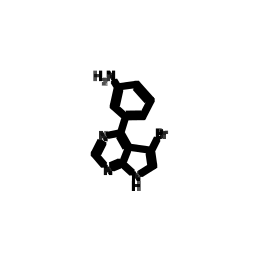 Nc1cccc(-c2ncnc3[nH]cc(Br)c23)c1